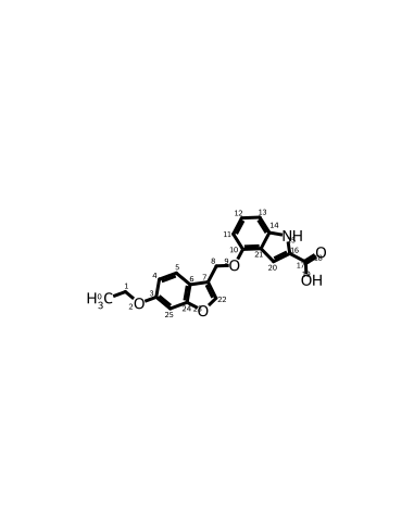 CCOc1ccc2c(COc3cccc4[nH]c(C(=O)O)cc34)coc2c1